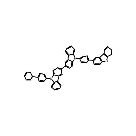 C1=CCC(c2ccc(-n3c4ccccc4c4cc(-c5ccc6c(c5)c5ccccc5n6-c5ccc(-c6ccc7oc8c(c7c6)C=CCC8)cc5)ccc43)cc2)C=C1